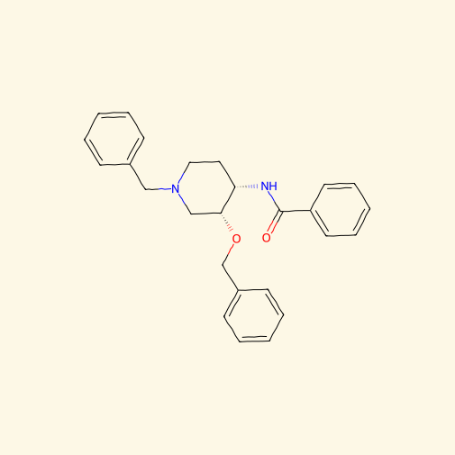 O=C(N[C@H]1CCN(Cc2ccccc2)C[C@H]1OCc1ccccc1)c1ccccc1